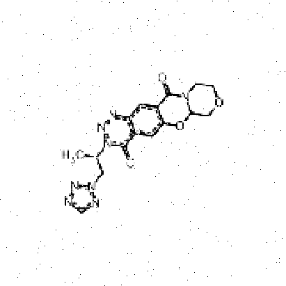 C[C@H](Cn1ncnn1)n1nnc2cc3c(cc2c1=O)OC1COCCN1C3=O